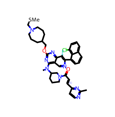 CSCN1CCCC(COc2nc(N(C)C3CCCN(C(=O)/C=C/c4ccnc(C)n4)C3)c3cnc(-c4cccc5cccc(Cl)c45)c(F)c3n2)CCC1